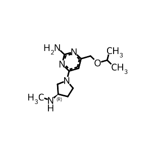 CN[C@@H]1CCN(c2cc(COC(C)C)nc(N)n2)C1